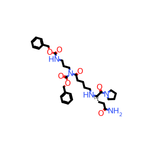 NC(=O)CC[C@H](NCCCCC(=O)N(CCCNC(=O)OCc1ccccc1)C(=O)OCc1ccccc1)C(=O)N1CCCC1